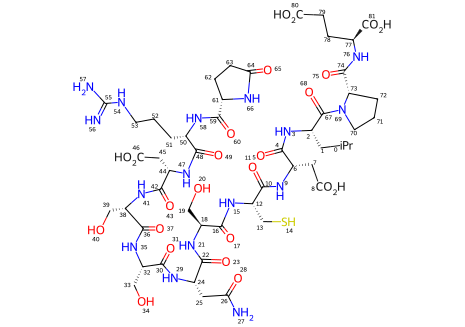 CC(C)C[C@H](NC(=O)[C@H](CC(=O)O)NC(=O)[C@H](CS)NC(=O)[C@H](CO)NC(=O)[C@H](CC(N)=O)NC(=O)[C@H](CO)NC(=O)[C@H](CO)NC(=O)[C@H](CC(=O)O)NC(=O)[C@H](CCCNC(=N)N)NC(=O)[C@@H]1CCC(=O)N1)C(=O)N1CCC[C@H]1C(=O)N[C@@H](CCC(=O)O)C(=O)O